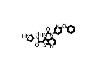 O=C(N[C@@H]1CCNC1)c1sc2nccc3c2c1NC(=O)N3c1ccc(Oc2ccccc2)nc1